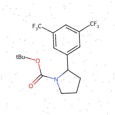 CC(C)(C)OC(=O)N1CCCC1c1cc(C(F)(F)F)cc(C(F)(F)F)c1